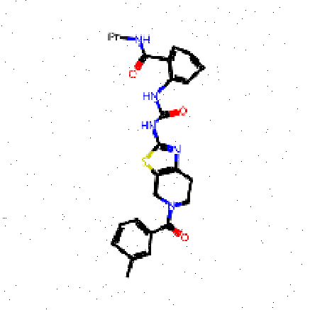 Cc1cccc(C(=O)N2CCc3nc(NC(=O)Nc4ccccc4C(=O)NC(C)C)sc3C2)c1